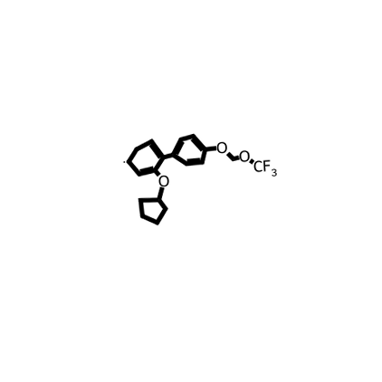 FC(F)(F)OCOc1ccc(C2=CC[CH]C=C2OC2CCCC2)cc1